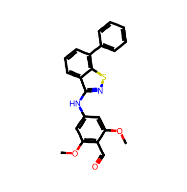 COc1cc(Nc2nsc3c(-c4ccccc4)cccc23)cc(OC)c1C=O